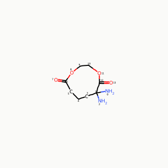 NC1(N)CCCC(=O)OCCOC1=O